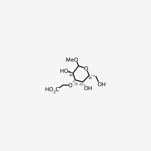 COC1O[C@H](CO)[C@H](O)[C@H](OCC(=O)O)[C@H]1O